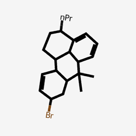 CCCC1CCC2C3C=CC(Br)CC3C(C)(C)C3C=CC=C1C23